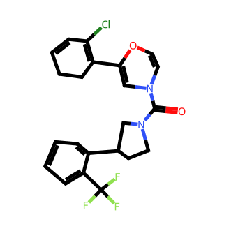 O=C(N1C=COC(C2=C(Cl)C=CCC2)=C1)N1CCC(c2ccccc2C(F)(F)F)C1